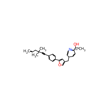 C=CCC(C)(C)C#Cc1ccc(-c2cc(CC3C=CN=C([C@H](C)O)C=C3)co2)cc1